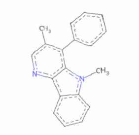 Cc1cnc2c3ccccc3n(C)c2c1-c1ccccc1